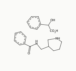 O=C(NCC1CCCNC1)c1ccccc1.O=C(O)C(O)c1ccccc1